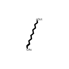 CCCCCCCCCCCCCCCC/C=C/OC(C)=O